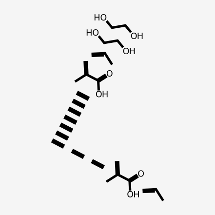 C=C.C=C.C=C.C=C.C=C.C=C.C=C.C=C.C=C.C=C(C)C(=O)O.C=C(C)C(=O)O.C=CC.C=CC.OCCO.OCCO